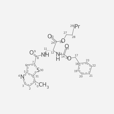 Cc1ccnc2cc(C(=O)NC[C@@H](NC(=O)OCc3ccccc3)C(=O)OCCC(C)C)sc12